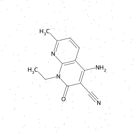 CCn1c(=O)c(C#N)c(N)c2ccc(C)nc21